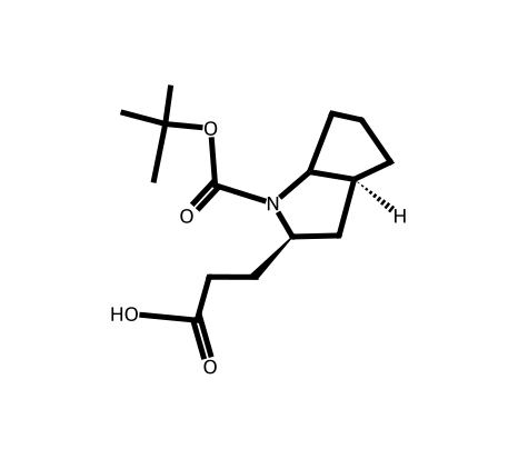 CC(C)(C)OC(=O)N1C2CCC[C@H]2C[C@H]1CCC(=O)O